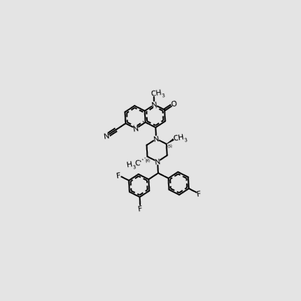 C[C@@H]1CN(c2cc(=O)n(C)c3ccc(C#N)nc23)[C@@H](C)CN1C(c1ccc(F)cc1)c1cc(F)cc(F)c1